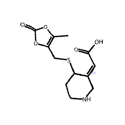 Cc1oc(=O)oc1CSC1CCNC/C1=C/C(=O)O